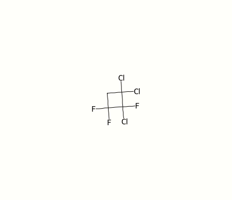 FC1(F)CC(Cl)(Cl)C1(F)Cl